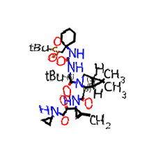 C=CC1CC1(NC(=O)[C@@H]1[C@@H]2[C@H](CN1C(=O)[C@@H](NC(=O)NC1(CS(=O)(=O)C(C)(C)C)CCCCC1)C(C)(C)C)C2(C)C)C(=O)C(=O)NC1CC1